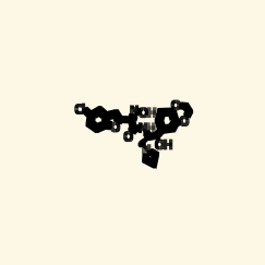 O=C(N[C@H](CN1CCC1)[C@H](O)c1ccc2c(c1)OCCO2)C(=NO)c1cc2cc(Cl)ccc2o1